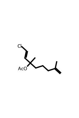 C=C(C)CCCC(C)(C=CCl)OC(C)=O